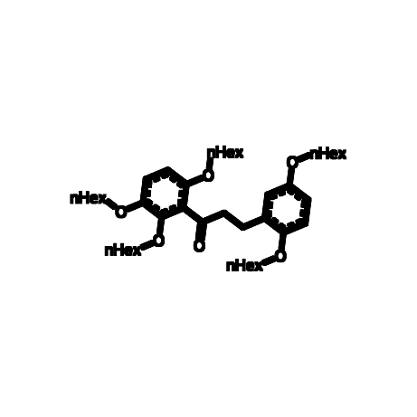 CCCCCCOc1ccc(OCCCCCC)c(CCC(=O)c2c(OCCCCCC)ccc(OCCCCCC)c2OCCCCCC)c1